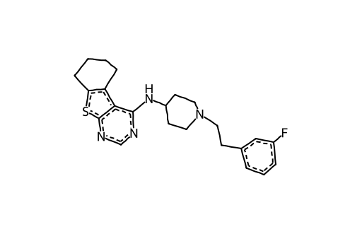 Fc1cccc(CCN2CCC(Nc3ncnc4sc5c(c34)CCCC5)CC2)c1